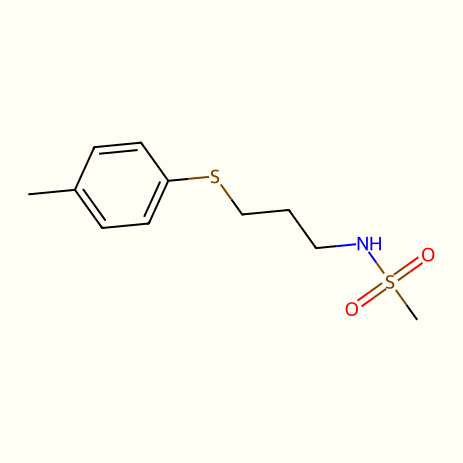 Cc1ccc(SCCCNS(C)(=O)=O)cc1